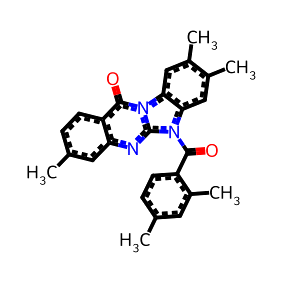 Cc1ccc(C(=O)n2c3cc(C)c(C)cc3n3c(=O)c4ccc(C)cc4nc23)c(C)c1